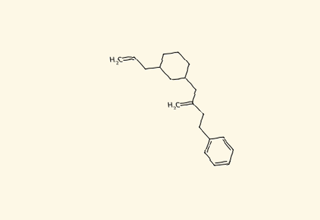 C=CCC1CCCC(CC(=C)CCc2ccccc2)C1